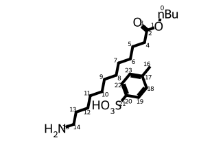 CCCCOC(=O)CCCCCCCCCCCN.Cc1ccc(S(=O)(=O)O)cc1